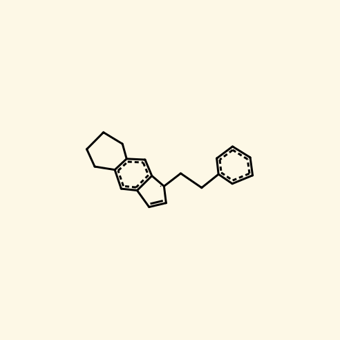 C1=Cc2cc3c(cc2[C]1CCc1ccccc1)CCCC3